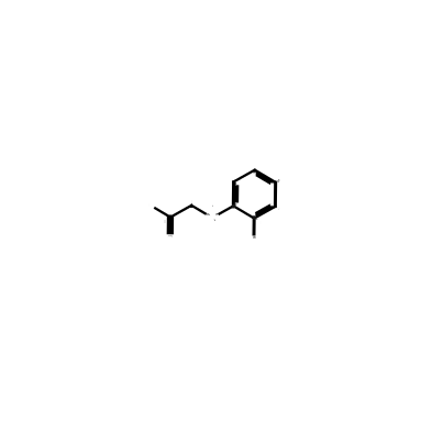 CCC(=O)CNc1ccccc1Cl